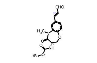 CN1C(=O)[C@@H](NC(=O)OC(C)(C)C)COc2ccc(/C=C/C=O)cc21